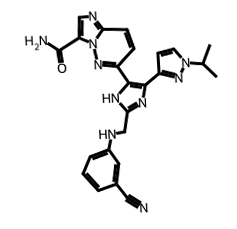 CC(C)n1ccc(-c2nc(CNc3cccc(C#N)c3)[nH]c2-c2ccc3ncc(C(N)=O)n3n2)n1